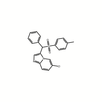 Cc1ccc(S(=O)(=O)C(c2ccccc2)c2cnc3ccc(Cl)cn23)cc1